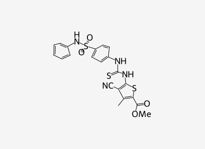 COC(=O)c1sc(NC(=S)Nc2ccc(S(=O)(=O)Nc3ccccc3)cc2)c(C#N)c1C